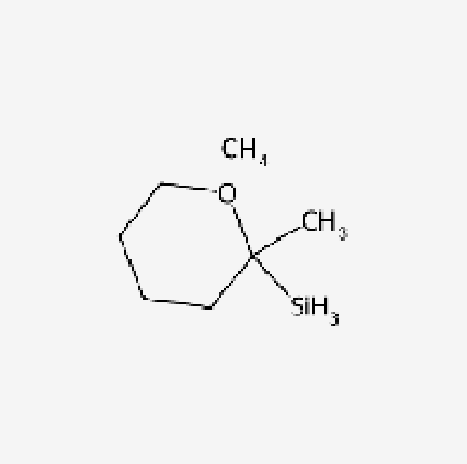 C.CC1([SiH3])CCCCO1